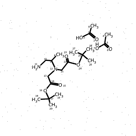 CC(=O)O.CC(=O)O.CC(CN)N(CC(=O)OC(C)(C)C)CC(=O)OC(C)(C)C